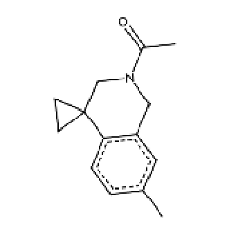 CC(=O)N1Cc2cc(C)ccc2C2(CC2)C1